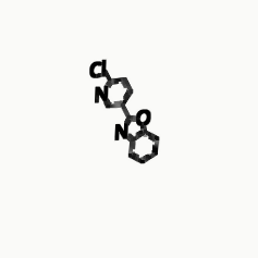 Clc1ccc(-c2nc3ccccc3o2)cn1